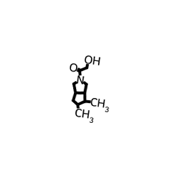 CC1CC2CN(C(=O)CO)CC2C1C